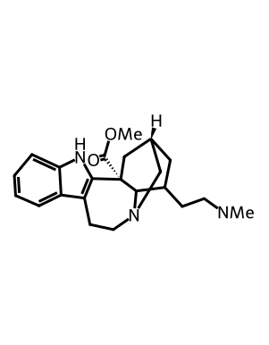 CNCCC1C[C@@H]2CN3CCc4c([nH]c5ccccc45)[C@@](C(=O)OC)(C2)C13